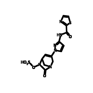 O=C(Nc1ccn(C2=CC3CN(C2)C(=O)N3OS(=O)(=O)O)n1)c1nccs1